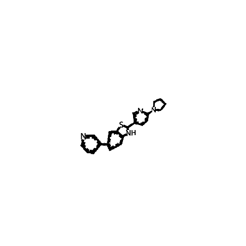 c1cncc(-c2ccc3c(c2)SC(c2ccc(N4CCCC4)nc2)N3)c1